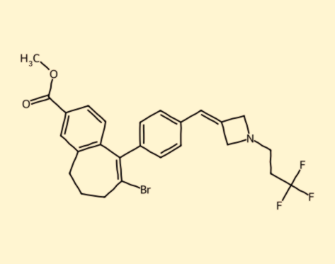 COC(=O)c1ccc2c(c1)CCCC(Br)=C2c1ccc(C=C2CN(CCC(F)(F)F)C2)cc1